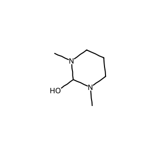 CN1CCCN(C)C1O